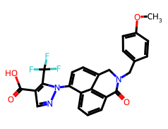 COc1ccc(CN2Cc3ccc(-n4ncc(C(=O)O)c4C(F)(F)F)c4cccc(c34)C2=O)cc1